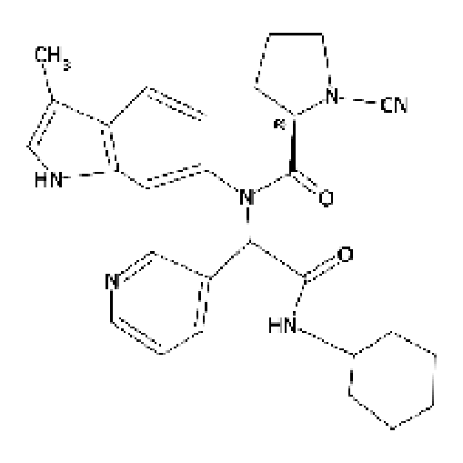 Cc1c[nH]c2cc(N(C(=O)[C@H]3CCCN3C#N)C(C(=O)NC3CCCCC3)c3cccnc3)ccc12